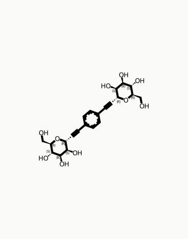 OC[C@H]1O[C@H](C#Cc2ccc(C#C[C@H]3O[C@H](CO)[C@@H](O)[C@H](O)[C@@H]3O)cc2)[C@@H](O)[C@@H](O)[C@@H]1O